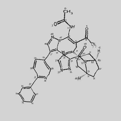 CC(=O)Nc1c(C(C)=O)c([C@@H]2C[C@H]3CC[C@@H](C2)N3C(=O)c2nnc[nH]2)nc2c(-c3ccc(-c4ccccc4)nc3)cnn12